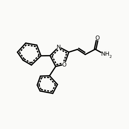 NC(=O)C=Cc1nc(-c2ccccc2)c(-c2ccccc2)o1